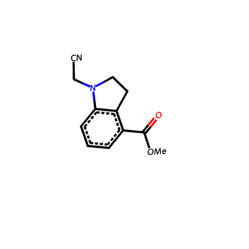 COC(=O)c1cccc2c1CCN2CC#N